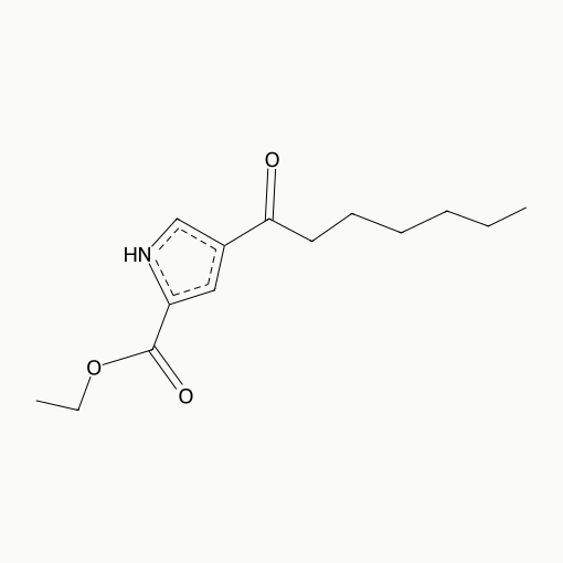 CCCCCCC(=O)c1c[nH]c(C(=O)OCC)c1